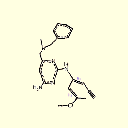 C#C/C=C(\C=C(/C)OC)Nc1nc(N)cc(CN(C)Cc2ccccc2)n1